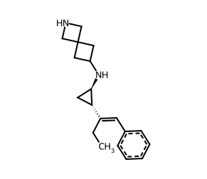 CCC(=Cc1ccccc1)[C@@H]1C[C@H]1NC1CC2(CNC2)C1